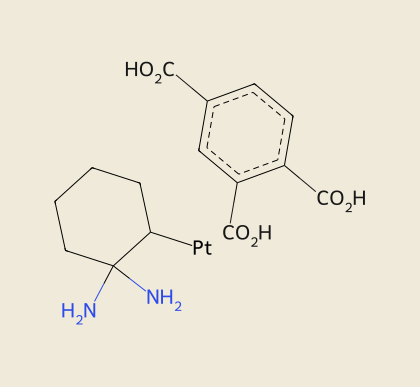 NC1(N)CCCC[CH]1[Pt].O=C(O)c1ccc(C(=O)O)c(C(=O)O)c1